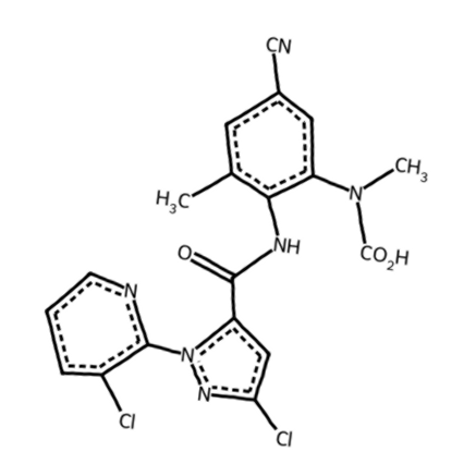 Cc1cc(C#N)cc(N(C)C(=O)O)c1NC(=O)c1cc(Cl)nn1-c1ncccc1Cl